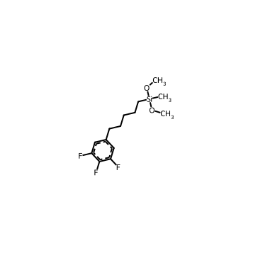 CO[Si](C)(CCCCCc1cc(F)c(F)c(F)c1)OC